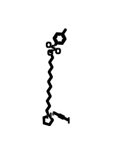 Cc1ccc(S(=O)(=O)OCCCCCCCCCCCC[N+]2(CC#CI)CCCC2)cc1